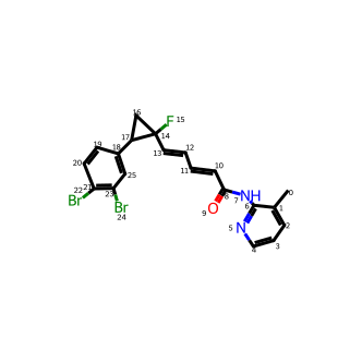 Cc1cccnc1NC(=O)/C=C/C=C/C1(F)CC1c1ccc(Br)c(Br)c1